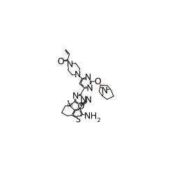 C=CC(=O)N1CCN(c2cc(-c3noc([C@@]4(C)CCCc5sc(N)c(C#N)c54)n3)nc(OC3CC4CCC(C3)N4C)n2)CC1